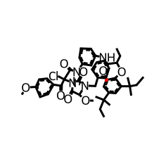 CCC(Oc1ccc(C(C)(C)CC)cc1C(C)(C)CC)C(=O)Nc1cccc(NC(=O)C(Cl)(C(=O)c2ccc(OC)cc2)N2C(=O)C(OC)N(Cc3ccccc3)C2=O)c1